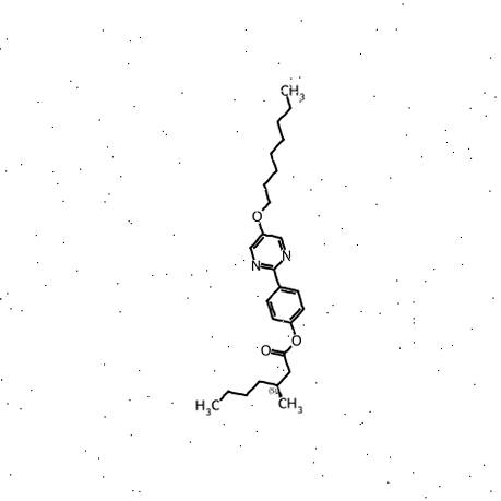 CCCCCCCCOc1cnc(-c2ccc(OC(=O)C[C@@H](C)CCCC)cc2)nc1